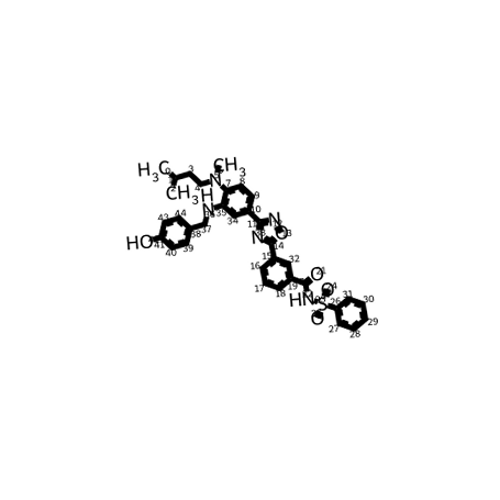 CC(C)CCN(C)c1ccc(-c2noc(-c3cccc(C(=O)NS(=O)(=O)c4ccccc4)c3)n2)cc1NCc1ccc(O)cc1